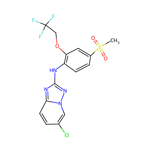 CS(=O)(=O)c1ccc(Nc2nc3ccc(Cl)cn3n2)c(OCC(F)(F)F)c1